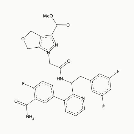 COC(=O)c1nn(CC(=O)NC(Cc2cc(F)cc(F)c2)c2ncccc2-c2ccc(F)c(C(N)=O)c2)c2c1COC2